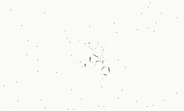 COCC1(F)CCCN(c2cc(C(=O)O)nc3c2c(C2CCC2)nn3-c2ccccc2)C1